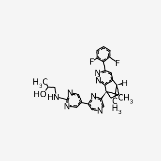 C[C@H](O)CNc1ncc(-c2cncc([C@@]34CC[C@@H](c5cc(-c6c(F)cccc6F)nnc53)C4(C)C)n2)cn1